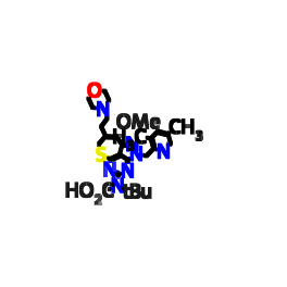 COc1c(C)cnc(Cn2nc3c4c(nc(N(C(=O)O)C(C)(C)C)nc42)SCC(CCN2CCOCC2)=C3)c1C